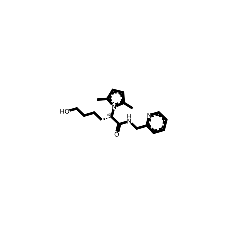 Cc1ccc(C)n1[C@@H](CCCCO)C(=O)NCc1ccccn1